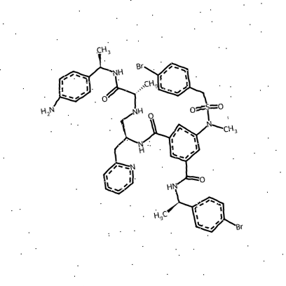 C[C@H](NC[C@H](Cc1ccccn1)NC(=O)c1cc(C(=O)N[C@H](C)c2ccc(Br)cc2)cc(N(C)S(=O)(=O)Cc2ccc(Br)cc2)c1)C(=O)N[C@H](C)c1ccc(N)cc1